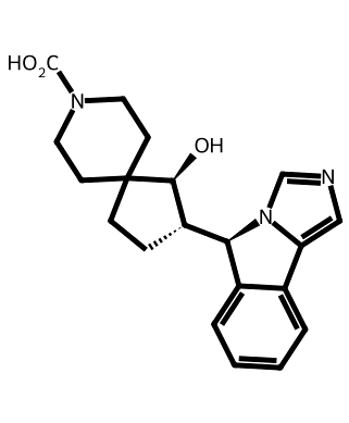 O=C(O)N1CCC2(CC[C@@H]([C@@H]3c4ccccc4-c4cncn43)[C@@H]2O)CC1